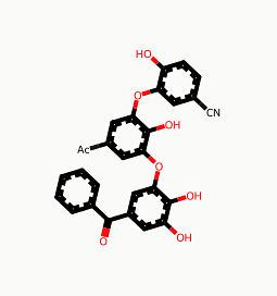 CC(=O)c1cc(Oc2cc(C#N)ccc2O)c(O)c(Oc2cc(C(=O)c3ccccc3)cc(O)c2O)c1